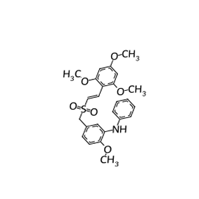 COc1cc(OC)c(C=CS(=O)(=O)Cc2ccc(OC)c(Nc3ccccc3)c2)c(OC)c1